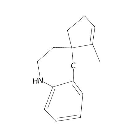 CC1=CCCC12CCNc1ccccc1C2